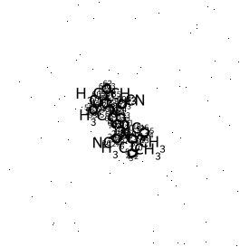 Cc1cccc(C)c1-c1cc(-c2c(C)cccc2C)cc(N(c2ccc(C#N)cc2)c2ccc3ccc4c(N(c5ccc(C#N)cc5)c5cc(-c6c(C)cccc6C)cc(-c6c(C)cccc6C)c5)ccc5ccc2c3c54)c1